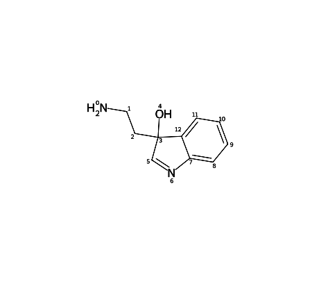 NCCC1(O)C=Nc2ccccc21